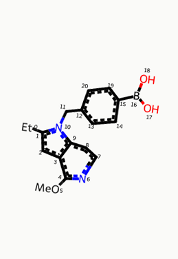 CCc1cc2c(OC)nccc2n1Cc1ccc(B(O)O)cc1